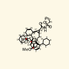 COc1ccc(C2CCCCC2)c2c1cc1n2CC2=C(C(=O)NS(=O)(=O)CC(C)C)C2=C2C=CC[C@@H](C(=O)N3C4CC3CN(Cc3ccccc3)C4)C21